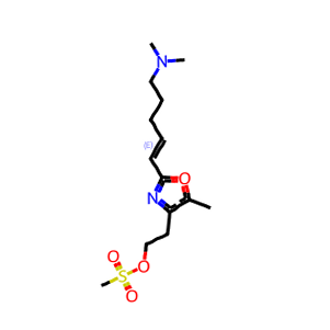 Cc1oc(/C=C/CCCN(C)C)nc1CCOS(C)(=O)=O